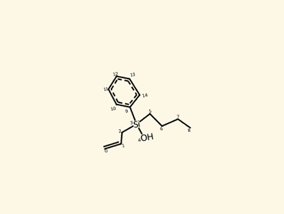 C=CC[Si](O)(CCCC)c1ccccc1